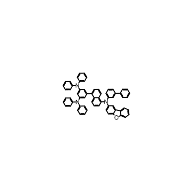 c1ccc(-c2cccc(N(c3ccc4oc5ccccc5c4c3)c3cccc4c(-c5cc(N(c6ccccc6)c6ccccc6)cc(N(c6ccccc6)c6ccccc6)c5)cccc34)c2)cc1